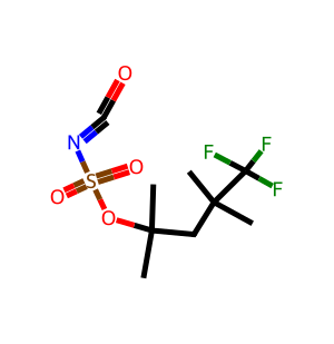 CC(C)(CC(C)(C)C(F)(F)F)OS(=O)(=O)N=C=O